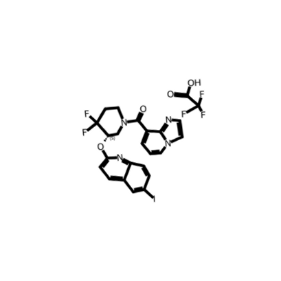 O=C(O)C(F)(F)F.O=C(c1cccn2ccnc12)N1CCC(F)(F)[C@@H](Oc2ccc3cc(I)ccc3n2)C1